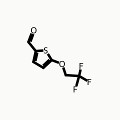 O=Cc1ccc(OCC(F)(F)F)s1